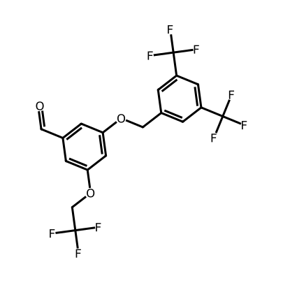 O=Cc1cc(OCc2cc(C(F)(F)F)cc(C(F)(F)F)c2)cc(OCC(F)(F)F)c1